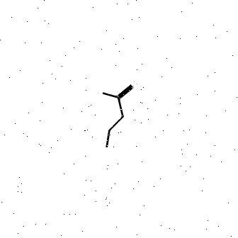 CCCC(=N)Br